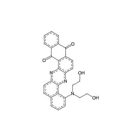 O=C1c2ccccc2C(=O)c2c1ccc1nc3c(ccc4cccc(N(CCO)CCO)c43)nc21